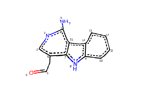 Nc1ncc(C=O)c2[nH]c3ccccc3c12